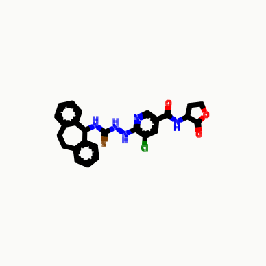 O=C(NC1CCOC1=O)c1cnc(NNC(=S)NC2c3ccccc3CCc3ccccc32)c(Cl)c1